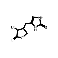 CCC1C(=O)OCC1Cc1c[nH]c(=S)[nH]1